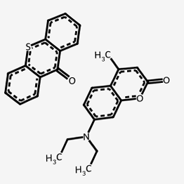 CCN(CC)c1ccc2c(C)cc(=O)oc2c1.O=c1c2ccccc2sc2ccccc12